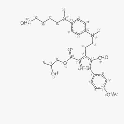 COc1ccc(-n2nc(C(=O)OCC(C)O)c(CCN(C)c3ccc(N(C)CCCCC=O)cc3)c2C=O)cc1